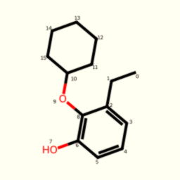 CCc1cccc(O)c1OC1CCCCC1